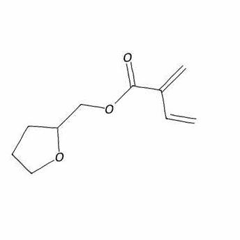 C=CC(=C)C(=O)OCC1CCCO1